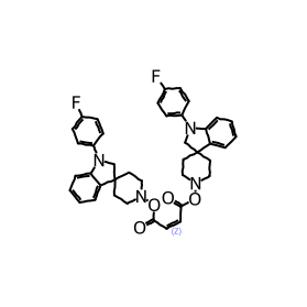 O=C(/C=C\C(=O)ON1CCC2(CC1)CN(c1ccc(F)cc1)c1ccccc12)ON1CCC2(CC1)CN(c1ccc(F)cc1)c1ccccc12